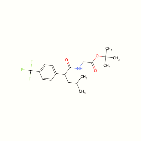 CC(C)CC(C(=O)NCC(=O)OC(C)(C)C)c1ccc(C(F)(F)F)cc1